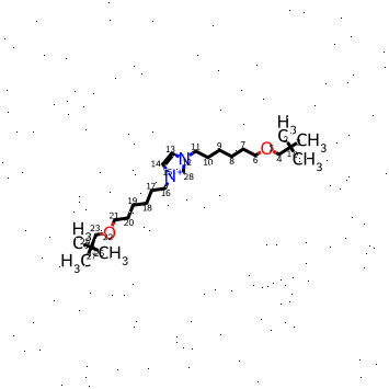 CC(C)(C)COCCCCCCn1cc[n+](CCCCCCOCC(C)(C)C)c1